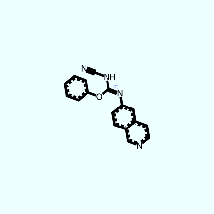 N#CN/C(=N/c1ccc2cnccc2c1)Oc1ccccc1